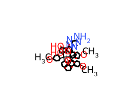 COc1ccc(C(OC([C@H]2O[C@@H](n3cnc4c(N)ncnc43)[C@H](O)[C@@H]2O)(C(c2ccccc2)(c2ccccc2)c2ccc(OC)cc2)C(c2ccccc2)(c2ccccc2)c2ccc(OC)cc2)(c2ccccc2)c2ccccc2)cc1